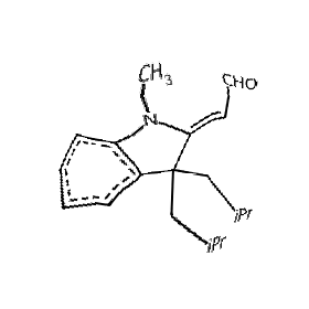 CC(C)CC1(CC(C)C)/C(=C/C=O)N(C)c2ccccc21